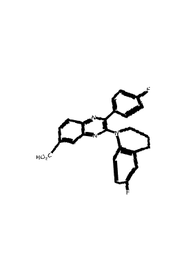 O=C(O)c1ccc2nc(-c3ccc(F)cc3)c(N3CCCc4cc(F)ccc43)nc2c1